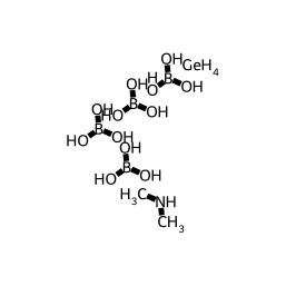 CNC.OB(O)O.OB(O)O.OB(O)O.OB(O)O.[GeH4]